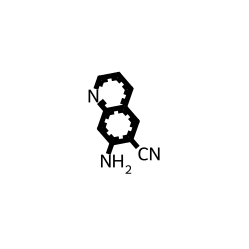 N#Cc1cc2cccnc2cc1N